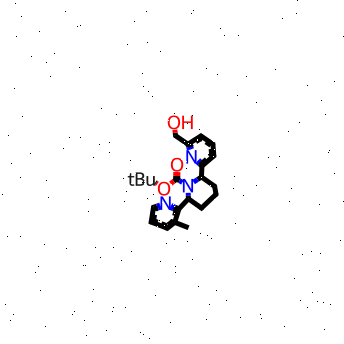 Cc1cccnc1C1CCCC(c2cccc(CO)n2)N1C(=O)OC(C)(C)C